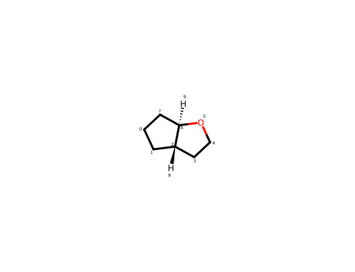 C1C[C@H]2CCO[C@@H]2C1